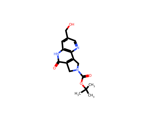 CC(C)(C)OC(=O)N1Cc2c(c3ncc(CO)cc3[nH]c2=O)C1